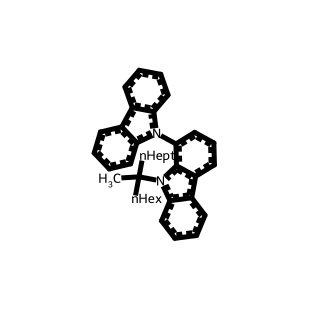 CCCCCCCC(C)(CCCCCC)n1c2ccccc2c2cccc(-n3c4ccccc4c4ccccc43)c21